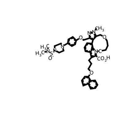 CN(C)[S+]([O-])N1CCN(c2ccc(OCc3nn(C)c4c3-c3cccc5c(CCCOc6cccc7ccccc67)c(C(=O)O)n(c35)CCCCOC4)cc2)CC1